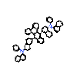 c1ccc(N(c2ccc3cc(-c4c5ccccc5c(-c5ccc(N(c6ccccc6)c6cccc7ccccc67)c6ccccc56)c5c6ccccc6c6ccccc6c45)ccc3c2)c2cccc3ccccc23)cc1